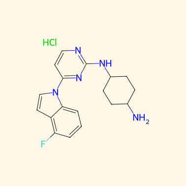 Cl.NC1CCC(Nc2nccc(-n3ccc4c(F)cccc43)n2)CC1